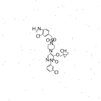 CC1(COc2c(N3CCN(S(=O)(=O)Cc4ccc(N)c(Cl)c4)CC3)cnn(-c3cccc(Cl)c3)c2=O)CC1